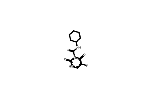 O=C(NC1CCCCC1)n1c(=O)[nH]cc(F)c1=O